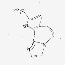 CCOC(=O)c1cc2ccn3ccnc3c2[nH]1